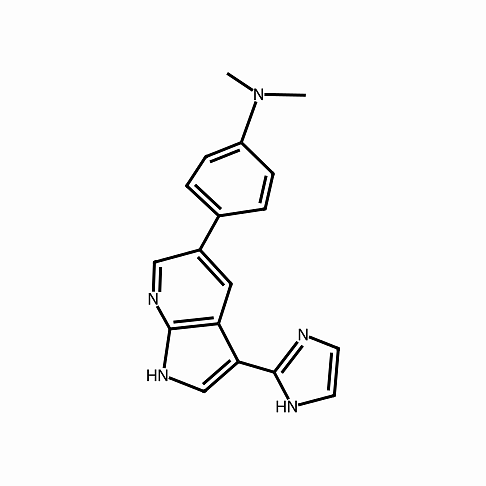 CN(C)c1ccc(-c2cnc3[nH]cc(-c4ncc[nH]4)c3c2)cc1